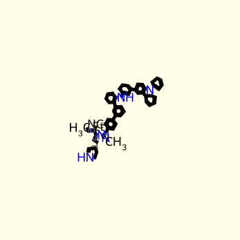 C/C=C(CC)/C(=C/C[C@H]1C=CNCC1)N1C(c2ccc(-c3cccc(C4=C(NC5=CC(c6ccc7c(c6)C6C=CC=CC6N7C6=CC=CCC6)=CCC5)C=CCC4)c3)cc2C#N)[N@]1C